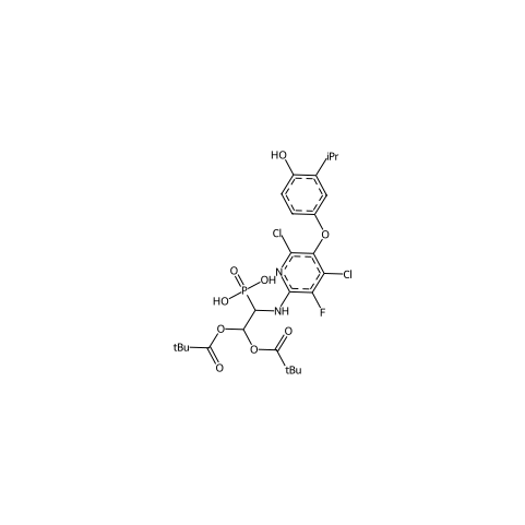 CC(C)c1cc(Oc2c(Cl)nc(NC(C(OC(=O)C(C)(C)C)OC(=O)C(C)(C)C)P(=O)(O)O)c(F)c2Cl)ccc1O